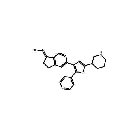 O/N=C1\CCc2cc(-c3cc(C4CCCNC4)oc3-c3ccncc3)ccc21